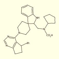 CC(C)C1CCc2ncnc(N3CCC4(CC3)c3ccccc3NC4CN(C(=O)O)C3CCCC3)c21